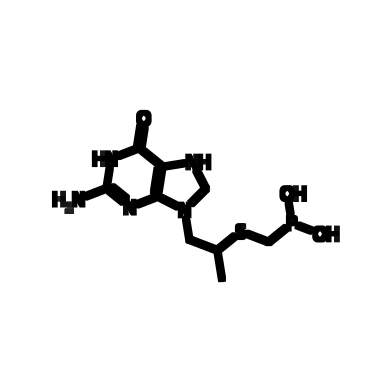 CC(CN1CNc2c1nc(N)[nH]c2=O)SCP(O)O